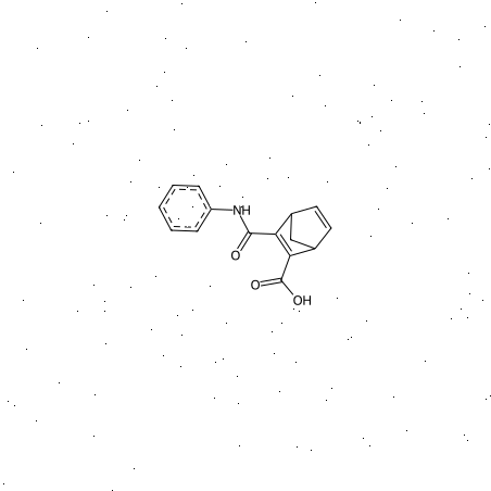 O=C(O)C1=C(C(=O)Nc2ccccc2)C2C=CC1C2